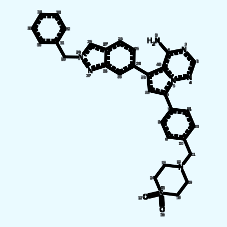 Nc1ncnn2c(-c3ccc(CN4CCS(=O)(=O)CC4)cc3)cc(-c3ccc4cn(Cc5ccccc5)nc4c3)c12